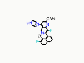 CCc1c(F)ccc2cccc(-c3ncc4c(N5CC6CC5=CN6)cc(OC)nc4c3F)c12